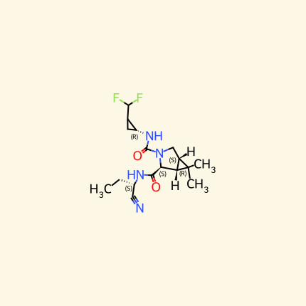 CC[C@@H](C#N)NC(=O)[C@@H]1[C@@H]2[C@H](CN1C(=O)N[C@@H]1CC1C(F)F)C2(C)C